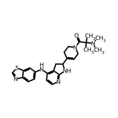 CN(C)C(C)(C)C(=O)N1CC=C(C2Cc3c(Nc4ccc5ncsc5c4)ccnc3N2)CC1